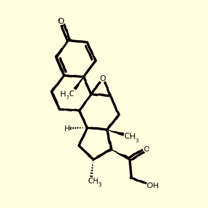 C[C@@H]1C[C@H]2C3CCC4=CC(=O)C=C[C@]4(C)C34OC4C[C@]2(C)[C@H]1C(=O)CO